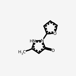 Cc1cc(=O)n(-c2ccco2)[nH]1